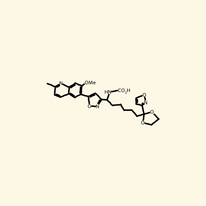 COc1cc2nc(C)ccc2cc1-c1cc(C(CCCCCC2(c3ccon3)OCCO2)NC(=O)O)no1